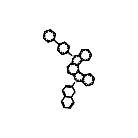 C1=CC2=CC=C(n3c4ccccc4c4c5c6ccccc6n(-c6ccc(-c7ccccc7)cc6)c5ccc43)CC2C=C1